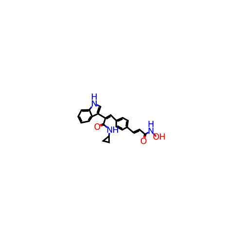 O=C(/C=C/c1ccc(/C=C(\C(=O)NC2CC2)c2c[nH]c3ccccc23)cc1)NO